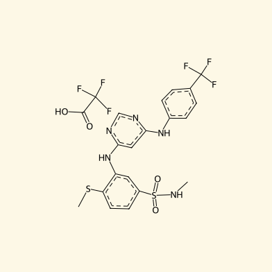 CNS(=O)(=O)c1ccc(SC)c(Nc2cc(Nc3ccc(C(F)(F)F)cc3)ncn2)c1.O=C(O)C(F)(F)F